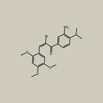 COc1cc(OC)c(OC)cc1/C=C(/Br)C(=O)c1ccc(N(C)C)c(N)c1